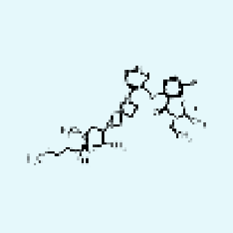 CCN(C(=O)c1cc(F)ccc1Oc1nncnc1N1CCC2(C1)CN(C(C[C@H](C)CN(C)CCOC)C(C)C)C2)C(C)C